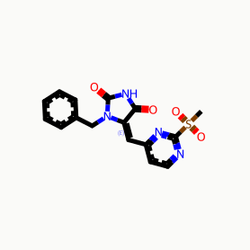 CS(=O)(=O)c1nccc(/C=C2\C(=O)NC(=O)N2Cc2ccccc2)n1